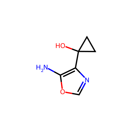 Nc1ocnc1C1(O)CC1